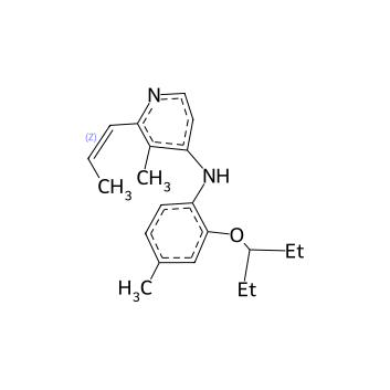 C/C=C\c1nccc(Nc2ccc(C)cc2OC(CC)CC)c1C